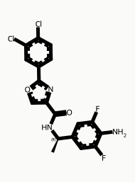 C[C@@H](NC(=O)c1coc(-c2ccc(Cl)c(Cl)c2)n1)c1cc(F)c(N)c(F)c1